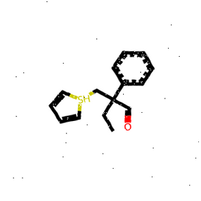 CCC(C=O)(C[SH]1C=CC=C1)c1ccccc1